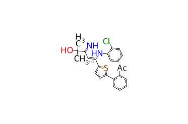 CC(=O)c1ccccc1-c1ccc(/C(=C/C(=N)C(C)(C)O)Nc2ccccc2Cl)s1